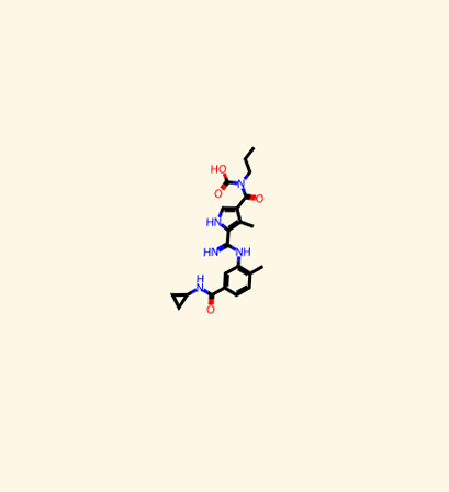 CCCN(C(=O)O)C(=O)c1c[nH]c(C(=N)Nc2cc(C(=O)NC3CC3)ccc2C)c1C